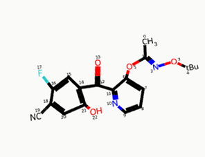 CC(=NOC(C)(C)C)Oc1cccnc1C(=O)c1cc(F)c(C#N)cc1O